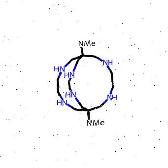 CNC12CNCCNCC(NC)(CNCCNC1)CNCCNC2